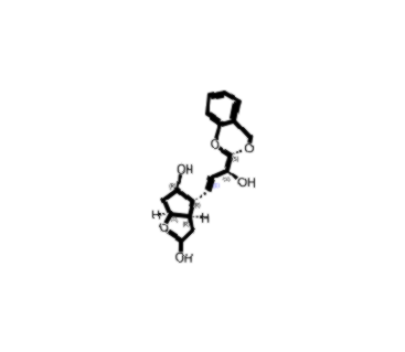 OC1C[C@@H]2[C@@H](/C=C/[C@H](O)[C@H]3OCc4ccccc4O3)[C@H](O)C[C@@H]2O1